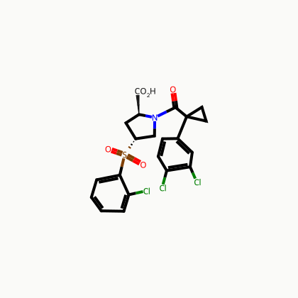 O=C(O)[C@@H]1C[C@@H](S(=O)(=O)c2ccccc2Cl)CN1C(=O)C1(c2ccc(Cl)c(Cl)c2)CC1